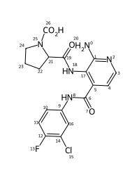 Nc1nccc(C(=O)Nc2ccc(F)c(Cl)c2)c1NC(=O)C1CCCN1C(=O)O